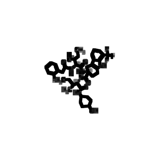 CCC(C)[C@H](NC(=O)Cc1ccccc1F)C(=O)N[C@]1(C(=O)N[C@H](C(=S)NC2CCC(O)CC2)C(C)CC)CCc2[nH]c3c(C(F)(F)F)cccc3c2C1